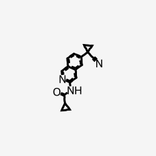 N#CC1(c2ccc3cnc(NC(=O)C4CC4)cc3c2)CC1